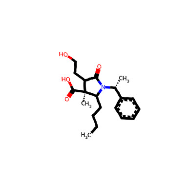 CCCCC1N([C@H](C)c2ccccc2)C(=O)C(CCO)[C@]1(C)C(=O)O